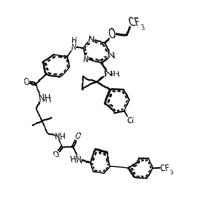 CC(C)(CNC(=O)C(=O)Nc1ccc(-c2ccc(C(F)(F)F)cc2)cc1)CNC(=O)c1ccc(Nc2nc(NC3(c4ccc(Cl)cc4)CC3)nc(OCC(F)(F)F)n2)cc1